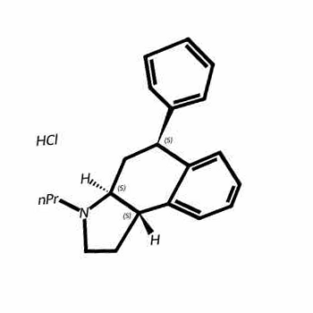 CCCN1CC[C@H]2c3ccccc3[C@H](c3ccccc3)C[C@@H]21.Cl